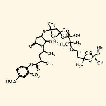 CC(CC(C)N1C(=O)CC(SC(C)(C)CC(C)(C)OP(=O)(O)C(C)(C)OCCC(C)(C)OP(=O)(O)OC(C)(C)C)C1=O)C(=O)Oc1ccc(S(=O)(=O)O)cc1[N+](=O)[O-]